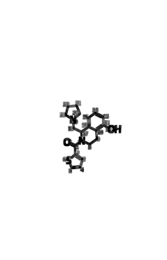 O=C(c1cccs1)N1CCc2c(O)cccc2C1CN1CCCC1